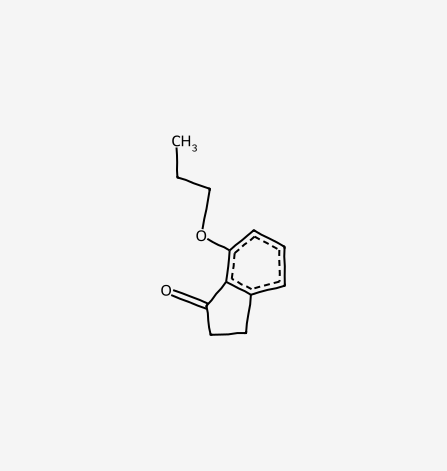 CCCOc1cccc2c1C(=O)CC2